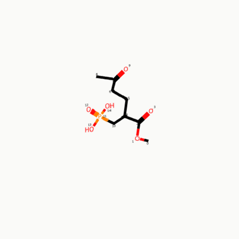 COC(=O)C(CCC(C)=O)CP(=O)(O)O